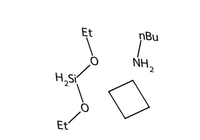 C1CCC1.CCCCN.CCO[SiH2]OCC